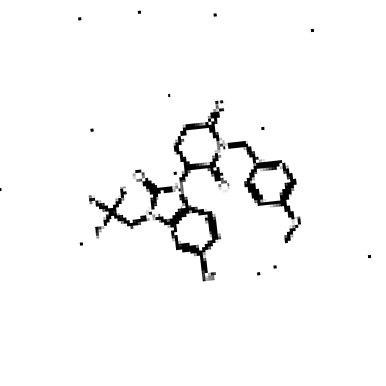 COc1ccc(CN2C(=O)CCC(n3c(=O)n(CC(F)(F)F)c4cc(Br)ccc43)C2=O)cc1